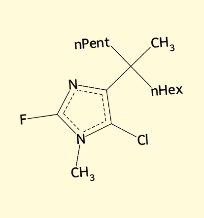 CCCCCCC(C)(CCCCC)c1nc(F)n(C)c1Cl